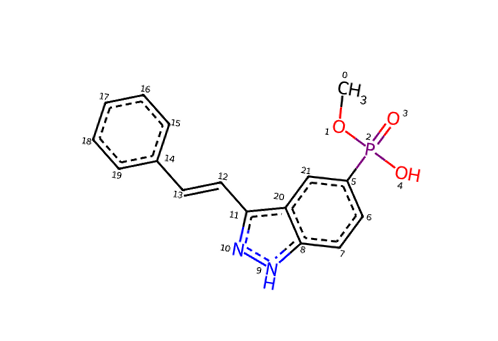 COP(=O)(O)c1ccc2[nH]nc(/C=C/c3ccccc3)c2c1